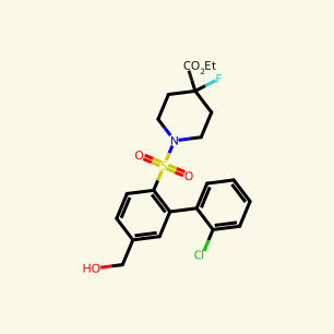 CCOC(=O)C1(F)CCN(S(=O)(=O)c2ccc(CO)cc2-c2ccccc2Cl)CC1